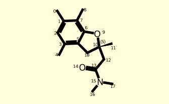 Cc1cc(C)c2c(c1C)O[C@](C)(CC(=O)N(C)C)C2